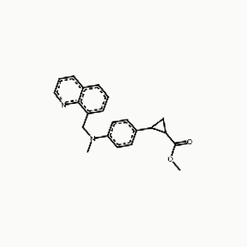 COC(=O)C1CC1c1ccc(N(C)Cc2cccc3cccnc23)cc1